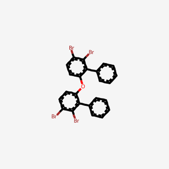 Brc1ccc(Oc2ccc(Br)c(Br)c2-c2ccccc2)c(-c2ccccc2)c1Br